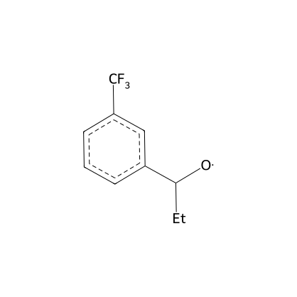 CCC([O])c1cccc(C(F)(F)F)c1